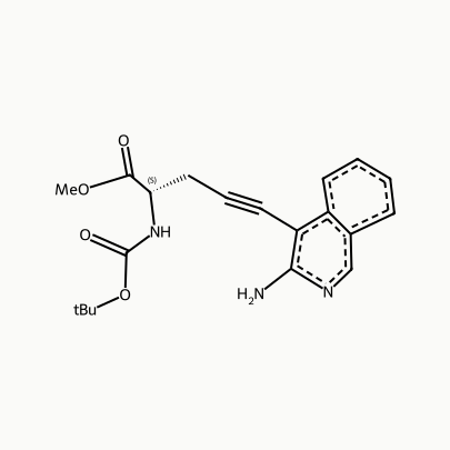 COC(=O)[C@H](CC#Cc1c(N)ncc2ccccc12)NC(=O)OC(C)(C)C